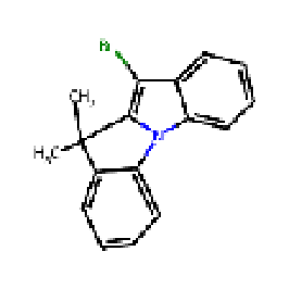 CC1(C)c2ccccc2-n2c1c(Br)c1ccccc12